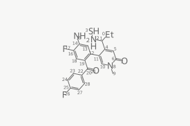 CCC(NS)c1cc(=O)n(C)cc1-c1cc(N)c(F)cc1C(=O)c1ccc(F)cc1